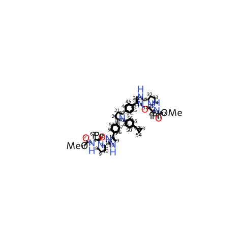 COC(=O)N[C@H](C(=O)N1CCC[C@H]1c1nc(-c2ccc([C@H]3CC[C@H](c4ccc(-c5c[nH]c([C@@H]6CCCN6C(=O)[C@@H](NC(=O)OC)C(C)C)n5)cc4)N3c3ccc(C4CC4)cc3)cc2)c[nH]1)C(C)C